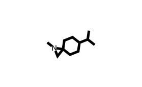 CC(C)C1CCC2(CC1)CN2C